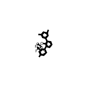 Cc1ccc(-c2cccc(-c3cc(C)cc(C)c3)c2OS(=O)(=O)C(F)(F)F)cc1